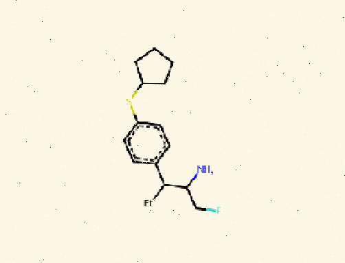 CCC(c1ccc(SC2CCCC2)cc1)C(N)CF